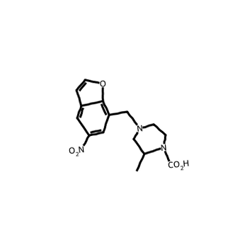 CC1CN(Cc2cc([N+](=O)[O-])cc3ccoc23)CCN1C(=O)O